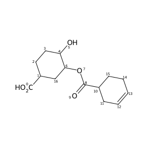 O=C(O)C1CCC(O)C(OC(=O)C2CC=CCC2)C1